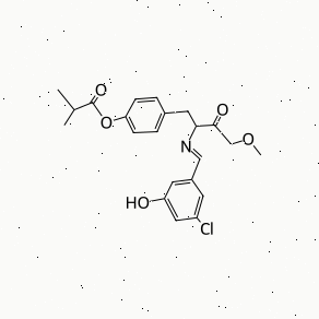 COCC(=O)C(Cc1ccc(OC(=O)C(C)C)cc1)N=Cc1cc(O)cc(Cl)c1